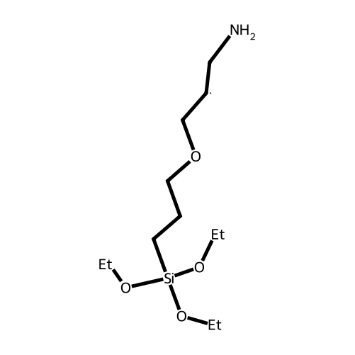 CCO[Si](CCCOC[CH]CN)(OCC)OCC